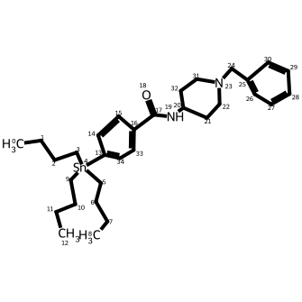 CCC[CH2][Sn]([CH2]CCC)([CH2]CCC)[c]1ccc(C(=O)NC2CCN(Cc3ccccc3)CC2)cc1